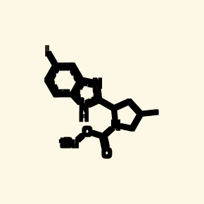 CC1CC(c2nc3cc(I)ccc3[nH]2)N(C(=O)OC(C)(C)C)C1